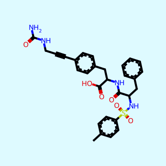 Cc1ccc(S(=O)(=O)NC(Cc2ccccc2)C(=O)NC(Cc2ccc(C#CCNC(N)=O)cc2)C(=O)O)cc1